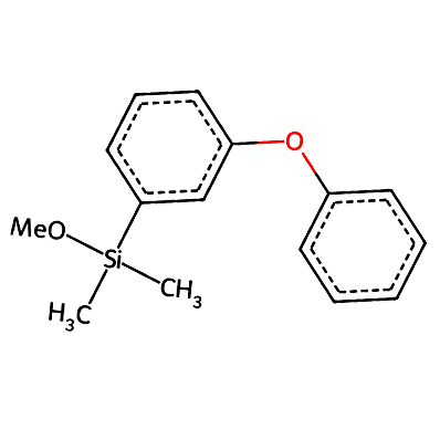 CO[Si](C)(C)c1cccc(Oc2ccccc2)c1